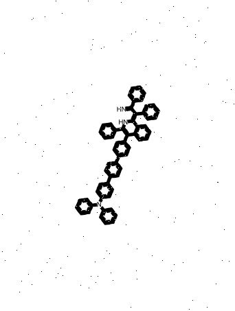 N=C(/C(=C1\NC(c2ccccc2)=C(c2ccc(-c3ccc(-c4ccc(N(c5ccccc5)c5ccccc5)cc4)cc3)cc2)c2ccccc21)c1ccccc1)c1ccccc1